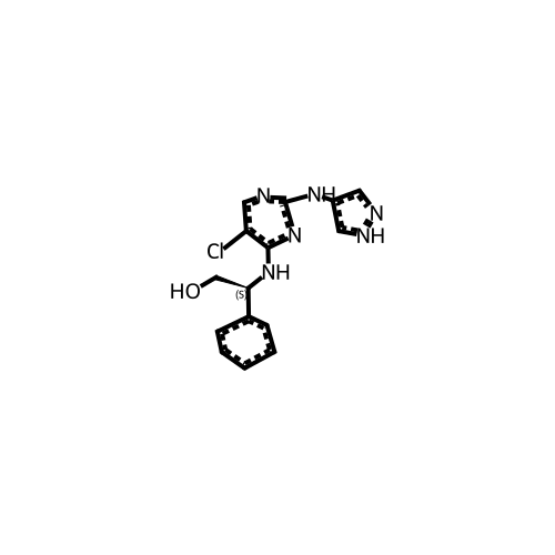 OC[C@@H](Nc1nc(Nc2cn[nH]c2)ncc1Cl)c1ccccc1